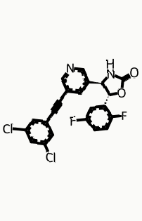 O=C1N[C@H](c2cncc(C#Cc3cc(Cl)cc(Cl)c3)c2)[C@@H](c2cc(F)ccc2F)O1